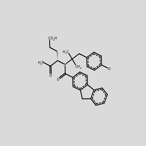 CC(C)(Cc1ccc(Cl)cc1)N(C(=O)c1ccc2c(c1)Cc1ccccc1-2)[C@@H](CCC(=O)O)C(N)=O